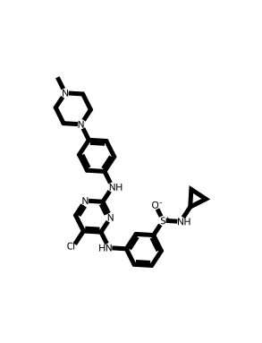 CN1CCN(c2ccc(Nc3ncc(Cl)c(Nc4cccc([S+]([O-])NC5CC5)c4)n3)cc2)CC1